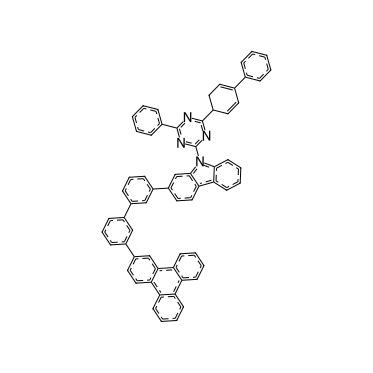 C1=CC(c2nc(-c3ccccc3)nc(-n3c4ccccc4c4ccc(-c5cccc(-c6cccc(-c7ccc8c9ccccc9c9ccccc9c8c7)c6)c5)cc43)n2)CC=C1c1ccccc1